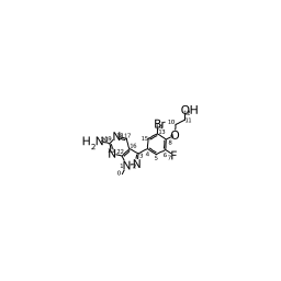 Cn1nc(-c2cc(F)c(OCCO)c(Br)c2)c2cnc(N)nc21